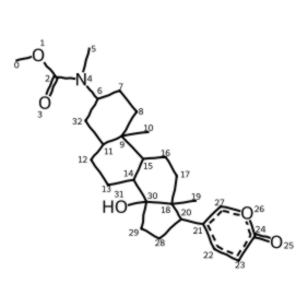 COC(=O)N(C)C1CCC2(C)C(CCC3C2CCC2(C)C(c4ccc(=O)oc4)CCC32O)C1